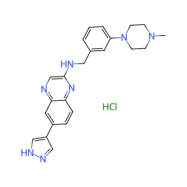 CN1CCN(c2cccc(CNc3cnc4cc(-c5cn[nH]c5)ccc4n3)c2)CC1.Cl